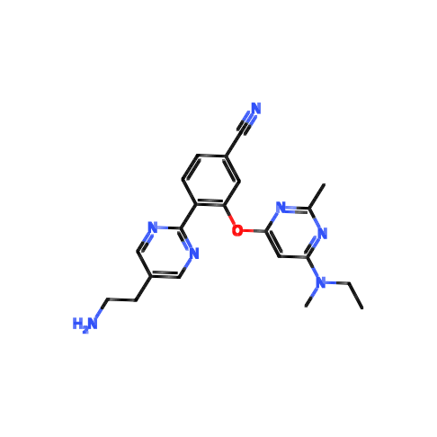 CCN(C)c1cc(Oc2cc(C#N)ccc2-c2ncc(CCN)cn2)nc(C)n1